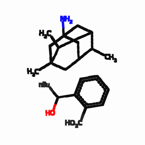 CC1C2CC3(N)CC1C(C)C(C)(C2)C3.CCCCC(O)c1ccccc1C(=O)O